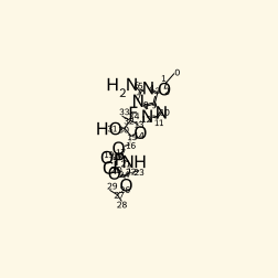 CCOc1nc(N)nc2c1ncn2[C@@H]1O[C@H](COP(=O)(Cl)N[C@@H](C)C(=O)OC(C)C)[C@@H](O)C1(C)F